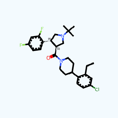 CCc1cc(Cl)ccc1C1CCN(C(=O)[C@@H]2CN(C(C)(C)C)C[C@H]2c2ccc(F)cc2F)CC1